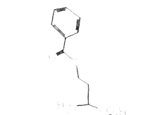 CC(CCSC(=O)c1ccccc1)C(=O)O